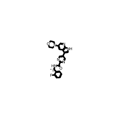 C[C@H](NC(=O)c1ncc(-c2c[nH]c3ncc(N4CCOCC4)cc23)cn1)c1ccccc1F